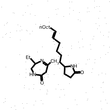 CCC1CNC(=O)CC(C)=N1.CCCCCCCCC=CCCCCC1CCC(=O)N1